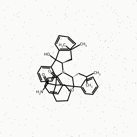 CC(C)C[C@@H](N(C(=O)C1(C(N)=O)CCCCC1)[C@H](CC(C)C)C(O)(c1ccccc1)c1ccccc1)C(O)(c1ccccc1)c1ccccc1